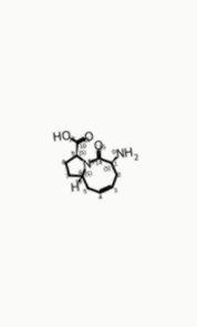 N[C@H]1CC=CC[C@@H]2CC[C@@H](C(=O)O)N2C1=O